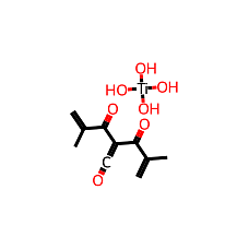 C=C(C)C(=O)C(=C=O)C(=O)C(=C)C.[OH][Ti]([OH])([OH])[OH]